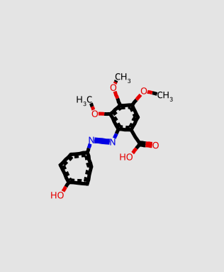 COc1cc(C(=O)O)c(/N=N/c2ccc(O)cc2)c(OC)c1OC